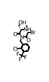 CN[C@@H](CO)C(=O)N(Cc1cccc(C(F)(F)F)c1Cl)C(=O)CBr